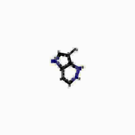 Cc1c[nH]c2ccnnc12